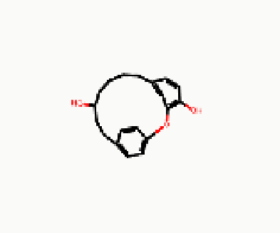 Oc1ccc2cc1Oc1ccc(cc1)CCC(O)CCCC2